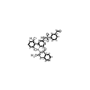 Cc1cccc(C)c1-c1cc(OC2CN(C)Cc3cnccc32)nc(NS(=O)(=O)c2cccc(C=O)c2)n1